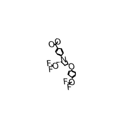 COC(=O)c1ccc(N2C[C@@H](Oc3ccc(OC(F)F)cc3)C[C@H]2COC(F)F)cc1